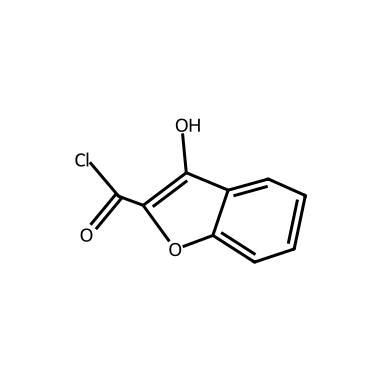 O=C(Cl)c1oc2ccccc2c1O